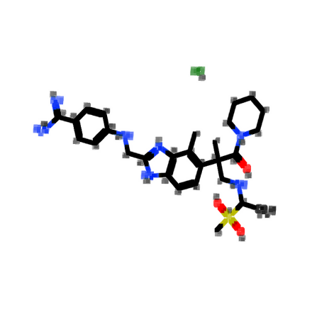 Cc1c(C(C)(CNC(C(=O)O)S(C)(=O)=O)C(=O)N2CCCCC2)ccc2[nH]c(CNc3ccc(C(=N)N)cc3)nc12.Cl